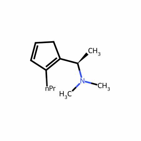 CCCC1=C([C@@H](C)N(C)C)CC=C1